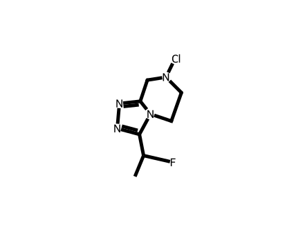 CC(F)c1nnc2n1CCN(Cl)C2